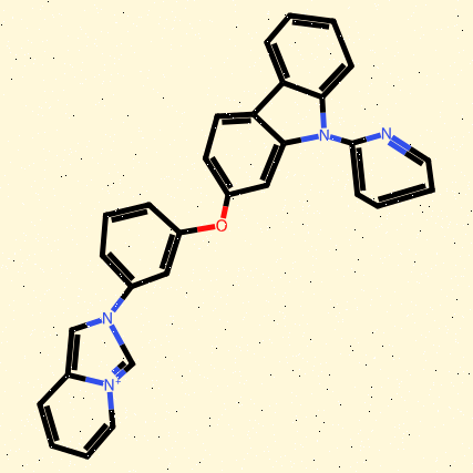 c1ccc(-n2c3ccccc3c3ccc(Oc4cccc(-n5cc6cccc[n+]6c5)c4)cc32)nc1